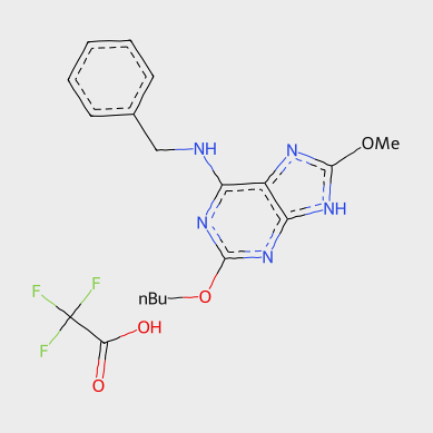 CCCCOc1nc(NCc2ccccc2)c2nc(OC)[nH]c2n1.O=C(O)C(F)(F)F